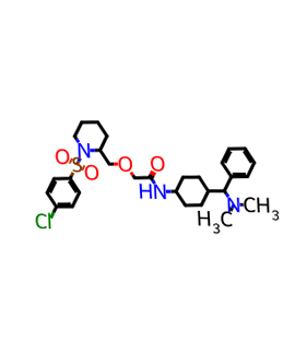 CN(C)C(c1ccccc1)C1CCC(NC(=O)COCC2CCCCN2S(=O)(=O)c2ccc(Cl)cc2)CC1